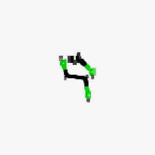 ClCCCl.[SiH3]Cl